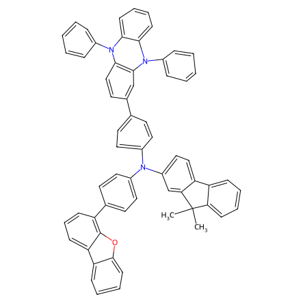 CC1(C)c2ccccc2-c2ccc(N(c3ccc(-c4ccc5c(c4)N(c4ccccc4)c4ccccc4N5c4ccccc4)cc3)c3ccc(-c4cccc5c4oc4ccccc45)cc3)cc21